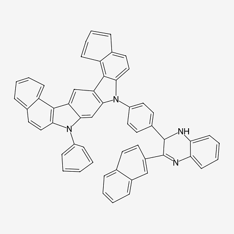 c1ccc(-n2c3cc4c(cc3c3c5ccccc5ccc32)c2c3ccccc3ccc2n4-c2ccc(C3Nc4ccccc4N=C3c3ccc4ccccc4c3)cc2)cc1